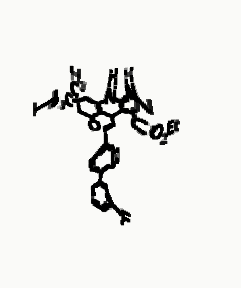 CCOC(=O)c1n[nH]c2c1C(C=Cc1ccc(-c3cccc(F)c3)cn1)C1=C(CC(C)(C)CC1=O)N2